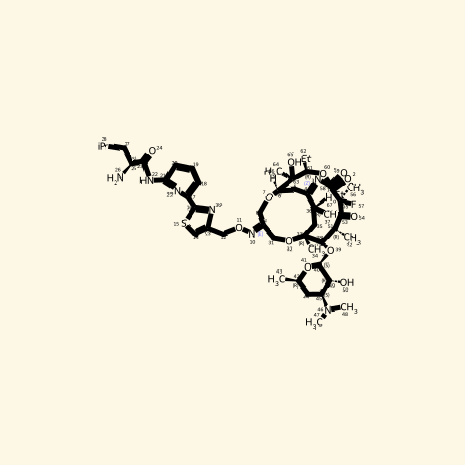 CCC(=O)/N=C1/C[C@H]2OC/C(=N\OCc3csc(-c4cccc(NC(=O)[C@@H](N)CC(C)C)n4)n3)CO[C@](C)(C[C@H]1C)[C@H](O[C@@H]1O[C@H](C)C[C@H](N(C)C)[C@H]1O)[C@@H](C)C(=O)[C@](C)(F)C(=O)O[C@H](CC)[C@@]2(C)O